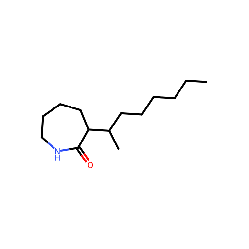 CCCCCCC(C)C1CCCCNC1=O